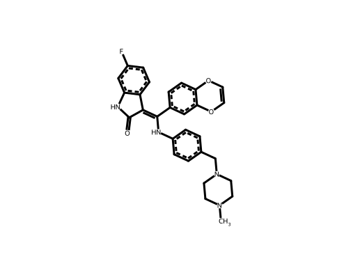 CN1CCN(Cc2ccc(N/C(=C3\C(=O)Nc4cc(F)ccc43)c3ccc4c(c3)OC=CO4)cc2)CC1